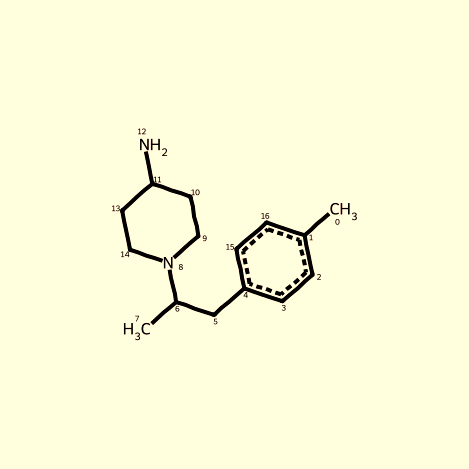 Cc1ccc(CC(C)N2CCC(N)CC2)cc1